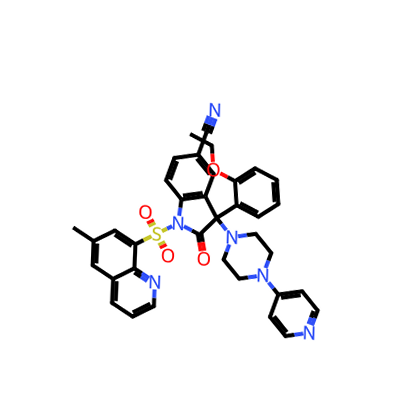 CCOc1ccccc1C1(N2CCN(c3ccncc3)CC2)C(=O)N(S(=O)(=O)c2cc(C)cc3cccnc23)c2ccc(C#N)cc21